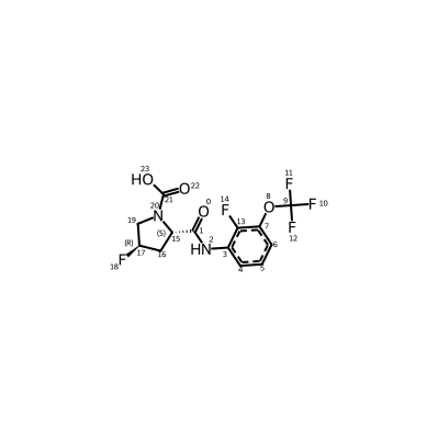 O=C(Nc1cccc(OC(F)(F)F)c1F)[C@@H]1C[C@@H](F)CN1C(=O)O